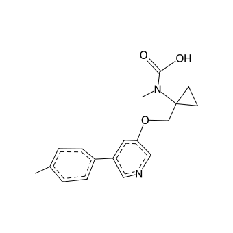 Cc1ccc(-c2cncc(OCC3(N(C)C(=O)O)CC3)c2)cc1